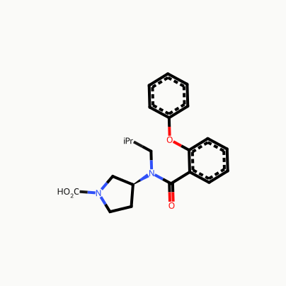 CC(C)CN(C(=O)c1ccccc1Oc1ccccc1)[C@H]1CCN(C(=O)O)C1